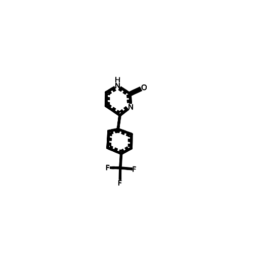 O=c1nc(-c2ccc(C(F)(F)F)cc2)cc[nH]1